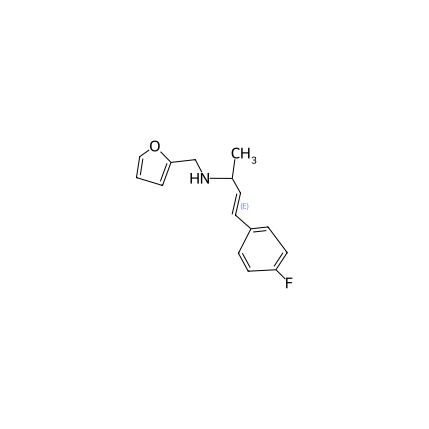 CC(/C=C/c1ccc(F)cc1)NCc1ccco1